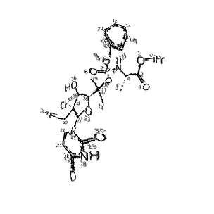 CC(C)OC(=O)[C@H](C)N[P@@](=O)(Oc1ccccc1)OC(C)(C)[C@H]1O[C@@H](n2ccc(=O)[nH]c2=O)[C@@](Cl)(CF)C1O